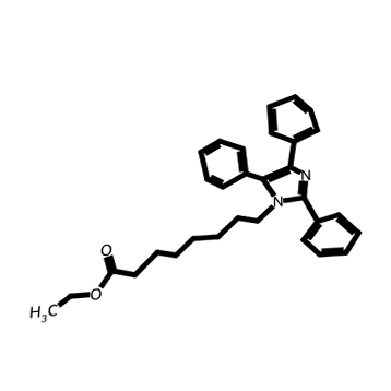 CCOC(=O)CCCCCCCn1c(-c2ccccc2)nc(-c2ccccc2)c1-c1ccccc1